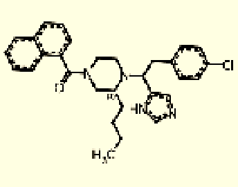 CCCC[C@H]1CN(C(=O)c2cccc3ccccc23)CCN1C(Cc1ccc(Cl)cc1)c1cnc[nH]1